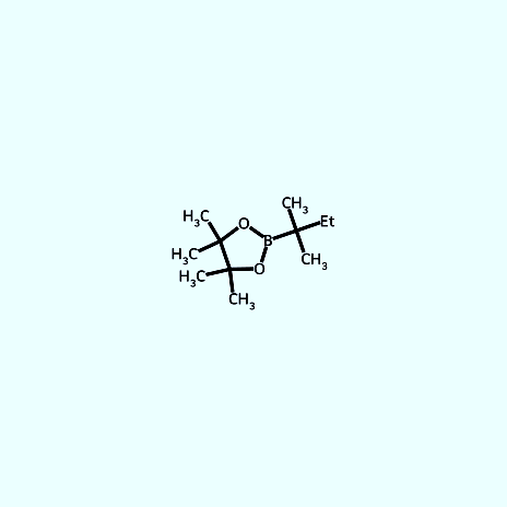 CCC(C)(C)B1OC(C)(C)C(C)(C)O1